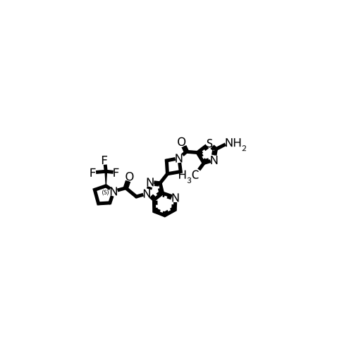 Cc1nc(N)sc1C(=O)N1CC(c2nn(CC(=O)N3CCC[C@H]3C(F)(F)F)c3cccnc23)C1